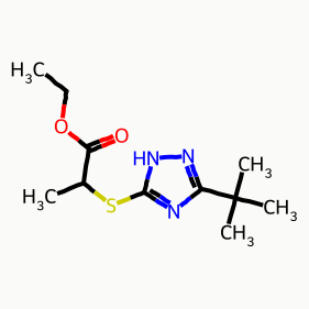 CCOC(=O)C(C)Sc1nc(C(C)(C)C)n[nH]1